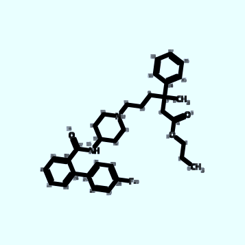 CCCOC(=O)CC(C)(CCCN1CCC(NC(=O)c2ccccc2-c2ccc(F)cc2)CC1)c1ccccc1